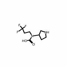 O=C(O)N(CCC(F)(F)F)C1CCNC1